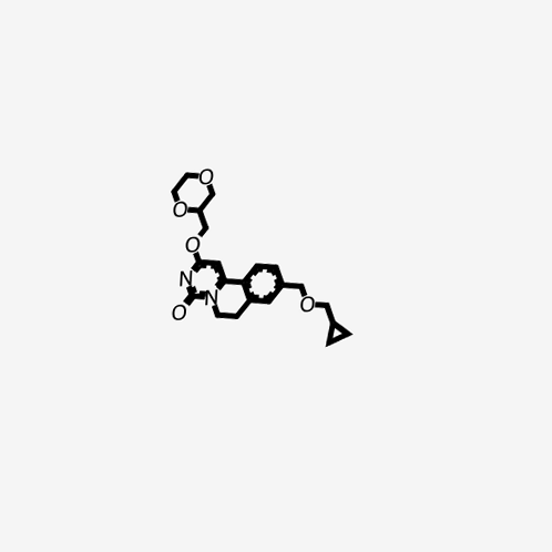 O=c1nc(OCC2COCCO2)cc2n1CCc1cc(COCC3CC3)ccc1-2